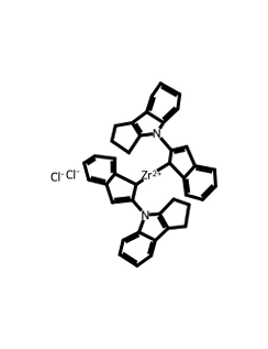 C1=C(n2c3c(c4ccccc42)CCC3)[CH]([Zr+2][CH]2C(n3c4c(c5ccccc53)CCC4)=Cc3ccccc32)c2ccccc21.[Cl-].[Cl-]